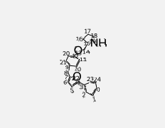 c1ccc(-c2ccc(Cc3ccc(OC[C@H]4CCCN4)cc3)o2)cc1